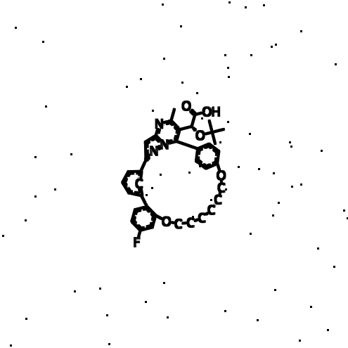 Cc1nc2cc3nn2c(c1[C@H](OC(C)(C)C)C(=O)O)-c1ccc(cc1)OCCCCCCOc1cc(F)ccc1-c1cccc-3c1